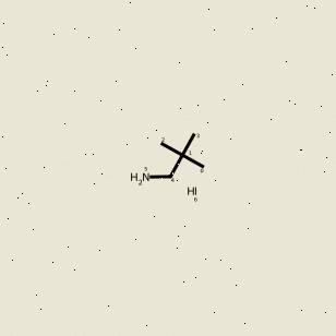 CC(C)(C)CN.I